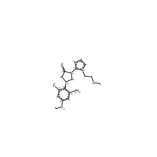 COCCn1ccnc1N1C[C@@H](c2c(F)cc(OC)cc2P)CC1=O